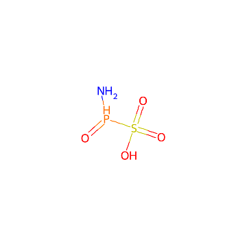 N[PH](=O)S(=O)(=O)O